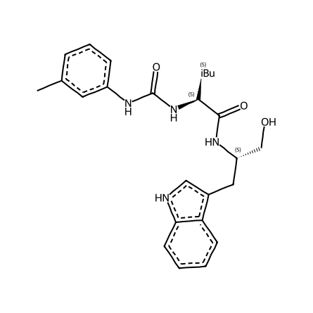 CC[C@H](C)[C@H](NC(=O)Nc1cccc(C)c1)C(=O)N[C@H](CO)Cc1c[nH]c2ccccc12